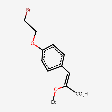 CCOC(=Cc1ccc(OCCBr)cc1)C(=O)O